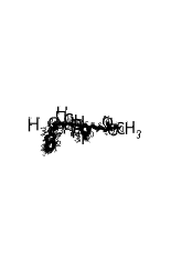 CCOC(=O)CCC=Cc1cc(F)c(F)c(OC[C@@H](O)CNC(C)(C)CC2Cc3ccccc3C2)c1